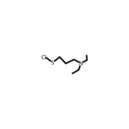 CCN(CC)CCCSCl